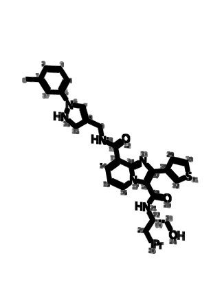 Cc1cccc(N2C=C(CNC(=O)c3cccn4c(C(=O)N[C@H](CO)CC(C)C)c(-c5ccsc5)nc34)CN2)c1